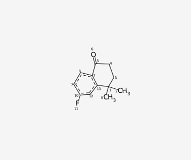 CC1(C)CCC(=O)c2ccc(F)cc21